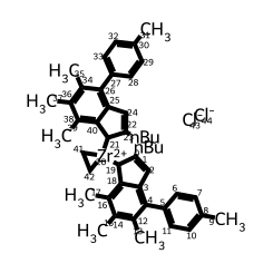 CCCCC1=Cc2c(-c3ccc(C)cc3)c(C)c(C)c(C)c2[CH]1[Zr+2]1([CH]2C(CCCC)=Cc3c(-c4ccc(C)cc4)c(C)c(C)c(C)c32)[CH2][CH2]1.[Cl-].[Cl-]